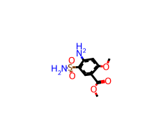 COC(=O)c1cc(S(N)(=O)=O)c(N)cc1OC